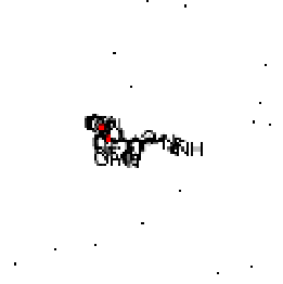 COc1ccc(C(=O)N2C3CC2CN(c2ccc(-c4cc(OCCN5C6CNCC5C6)cn5ncc(C#N)c45)cn2)C3)cn1